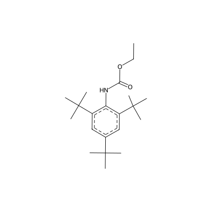 CCOC(=O)Nc1c(C(C)(C)C)cc(C(C)(C)C)cc1C(C)(C)C